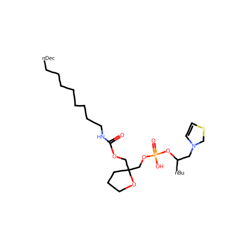 CCCCCCCCCCCCCCCCCCNC(=O)OCC1(COP(=O)(O)OC(CCCC)CN2C=CSC2)CCCO1